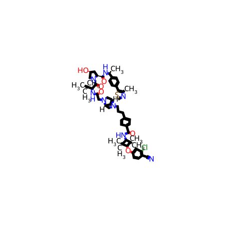 Cc1ncsc1-c1ccc([C@H](C)NC(=O)[C@@H]2C[C@@H](O)CN2C(=O)C(NC(=O)CN2C[C@@H]3C[C@H]2CN3CCCc2ccc(C(=O)NC3C(C)(C)C(Oc4ccc(C#N)c(Cl)c4)C3(C)C)cc2)C(C)(C)C)cc1